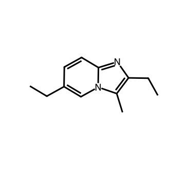 CCc1ccc2nc(CC)c(C)n2c1